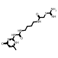 Cc1cc(=O)nc(NC(=O)NCCCCNC(=O)CSC(=N)N)[nH]1